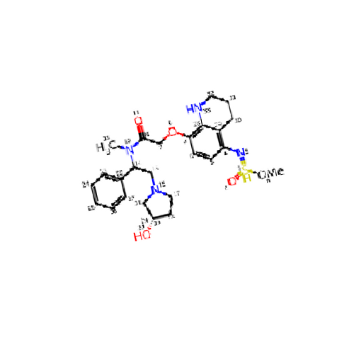 CO[SH](=O)=Nc1ccc(OCC(=O)N(C)C(CN2CC[C@H](O)C2)c2ccccc2)c2c1CCCN2